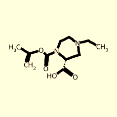 C=C(C)OC(=O)N1CCN(CC)C[C@@H]1C(=O)O